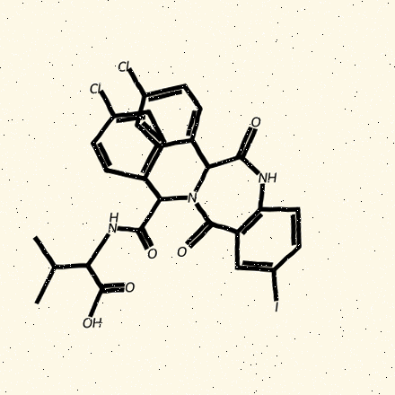 CC(C)C(NC(=O)C(c1ccc(Cl)cc1)N1C(=O)c2cc(I)ccc2NC(=O)C1c1ccc(Cl)cc1)C(=O)O